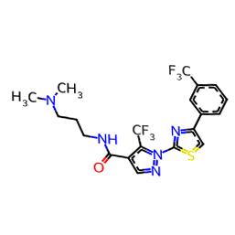 CN(C)CCCNC(=O)c1cnn(-c2nc(-c3cccc(C(F)(F)F)c3)cs2)c1C(F)(F)F